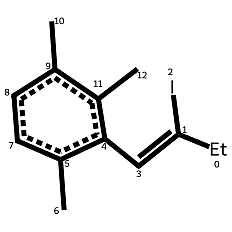 CC/C(I)=C/c1c(C)ccc(C)c1C